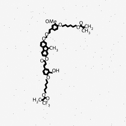 C=C(C)C(=O)OCCCCCCOc1ccc(C=COCOc2ccc3c(c2)C(C)c2cc(OC(=O)C=Cc4ccc(OCCCCCCOC(=O)C(=C)C(F)(F)F)c(CO)c4)ccc2-3)cc1OC